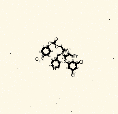 CC(C)c1nc(COC(=O)Oc2ccc([N+](=O)[O-])cc2)n(Cc2ccncc2)c1Sc1cc(Cl)cc(Cl)c1